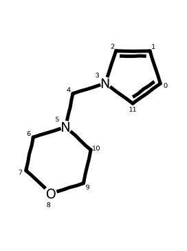 c1ccn(CN2CCOCC2)c1